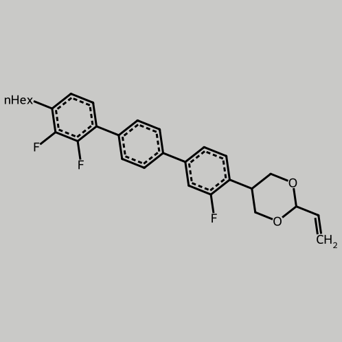 C=CC1OCC(c2ccc(-c3ccc(-c4ccc(CCCCCC)c(F)c4F)cc3)cc2F)CO1